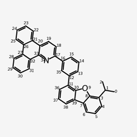 CC(C)c1cccc2c1oc1c(-c3cccc(-c4ccc5c6ccccc6c6ccccc6c5n4)c3)cccc12